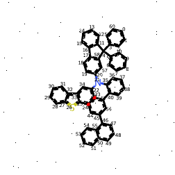 c1ccc(C2(c3ccccc3)c3ccccc3-c3ccc(N(c4ccc5sc6ccccc6c5c4)c4ccccc4-c4cccc(-c5cccc6ccccc56)c4)cc32)cc1